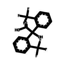 O=C(O)C(O)(c1ccccc1C(F)(F)F)c1ccccc1C(F)(F)F